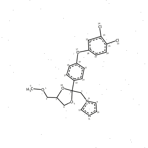 COCC1COC(Cn2ccnc2)(c2ccc(Oc3ccc(Cl)c(Cl)c3)cc2)O1